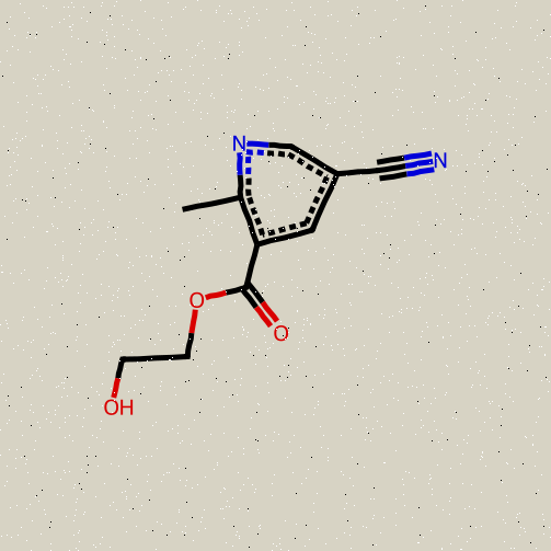 Cc1ncc(C#N)cc1C(=O)OCCO